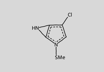 CSn1cc(Cl)c2c1N2